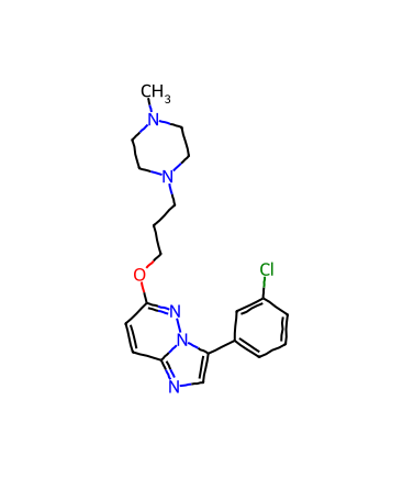 CN1CCN(CCCOc2ccc3ncc(-c4cccc(Cl)c4)n3n2)CC1